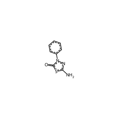 Nc1nn(-c2ccccc2)c(=O)s1